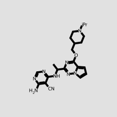 CC(Nc1ncnc(N)c1C#N)c1nc(OCC2CCN(C(C)C)CC2)c2cccn2n1